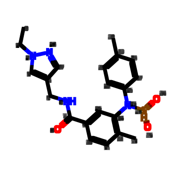 CCn1cc(CNC(=O)c2ccc(C)c(N(c3ccc(C)cc3)[SH](=O)=O)c2)cn1